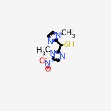 Cn1ccnc1C(S)c1ncc([N+](=O)[O-])n1C